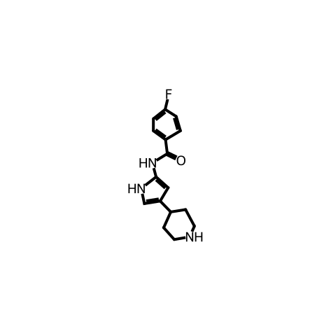 O=C(Nc1cc(C2CCNCC2)c[nH]1)c1ccc(F)cc1